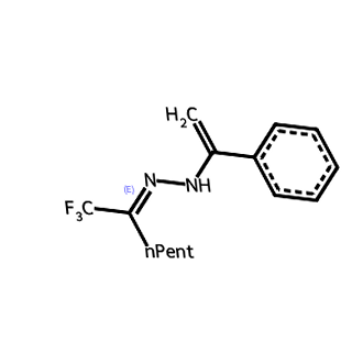 C=C(N/N=C(\CCCCC)C(F)(F)F)c1ccccc1